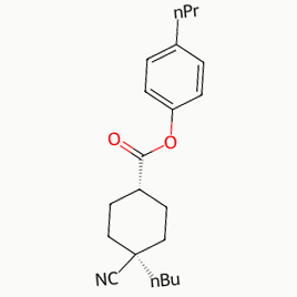 CCCC[C@]1(C#N)CC[C@H](C(=O)Oc2ccc(CCC)cc2)CC1